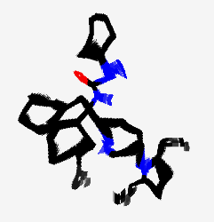 Cc1ccc(C)n1-c1ccc(C(Cc2ccccc2)(NC(=O)NC2CCCC2)c2cccc(C(F)(F)F)c2)nc1